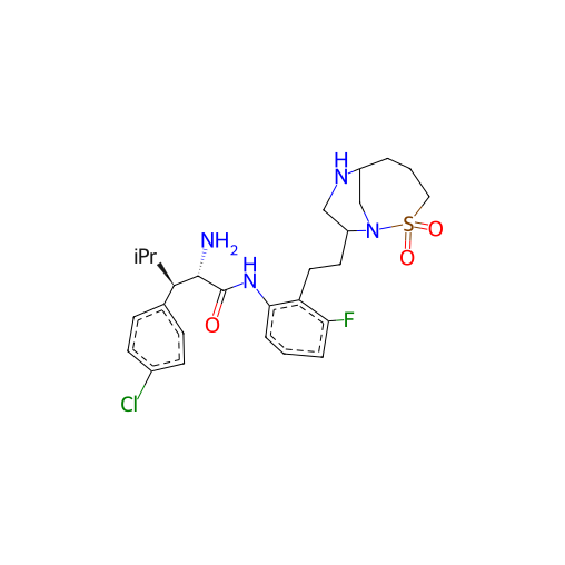 CC(C)[C@H](c1ccc(Cl)cc1)[C@H](N)C(=O)Nc1cccc(F)c1CCC1CNC2CCCS(=O)(=O)N1C2